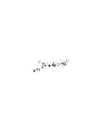 Cc1ncsc1-c1ccc(CNC(=O)[C@@H]2C[C@@H](O)CN2C(=O)[C@@H](c2cc(-c3cnc(N4CCC(c5sc6nnc(-c7ccccc7O)cc6c5C)[C@@H](C)C4)nc3)no2)C(C)C)cc1